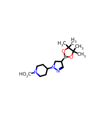 CC1(C)OB(C2C=NN(C3CCN(C(=O)O)CC3)C2)OC1(C)C